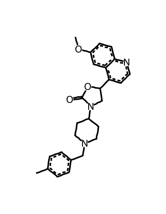 COc1ccc2nccc(C3CN(C4CCN(Cc5ccc(C)cc5)CC4)C(=O)O3)c2c1